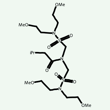 COCCN(CCOC)S(=O)(=O)CN(CS(=O)(=O)N(CCOC)CCOC)C(=O)CC(C)C